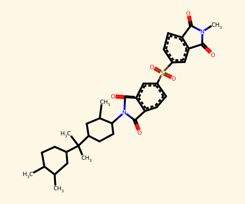 CC1CCC(C(C)(C)C2CCC(N3C(=O)c4ccc(S(=O)(=O)c5ccc6c(c5)C(=O)N(C)C6=O)cc4C3=O)C(C)C2)CC1C